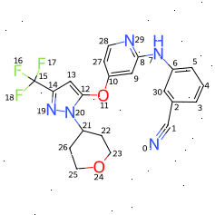 N#Cc1cccc(Nc2cc(Oc3cc(C(F)(F)F)nn3C3CCOCC3)ccn2)c1